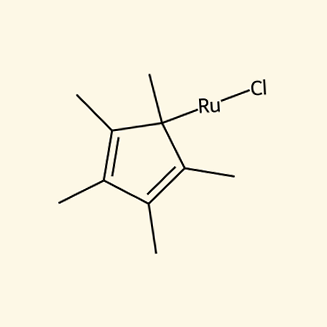 CC1=C(C)[C](C)([Ru][Cl])C(C)=C1C